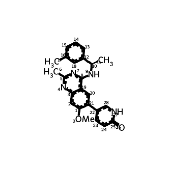 COc1cc2nc(C)nc(N[C@H](C)c3cccc(C)c3)c2cc1-c1ccc(=O)[nH]c1